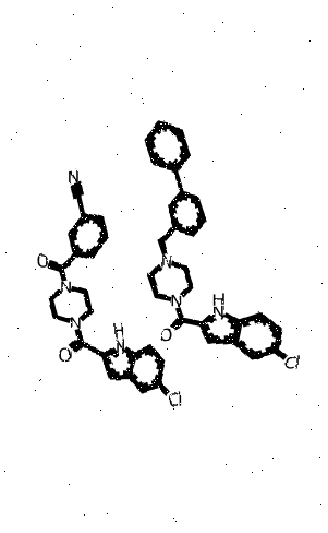 N#Cc1cccc(C(=O)N2CCN(C(=O)c3cc4cc(Cl)ccc4[nH]3)CC2)c1.O=C(c1cc2cc(Cl)ccc2[nH]1)N1CCN(Cc2cccc(-c3ccccc3)c2)CC1